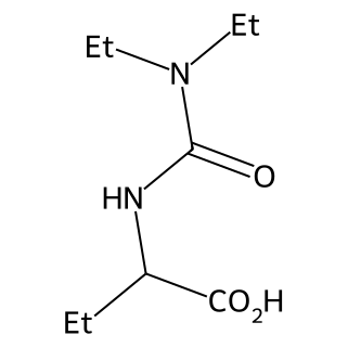 CCC(NC(=O)N(CC)CC)C(=O)O